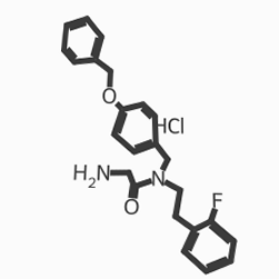 Cl.NCC(=O)N(CCc1ccccc1F)Cc1ccc(OCc2ccccc2)cc1